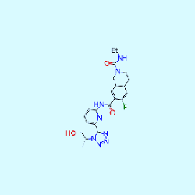 CCNC(=O)N1CCc2cc(F)c(C(=O)Nc3cccc(-c4nnnn4[C@H](C)CO)n3)cc2C1